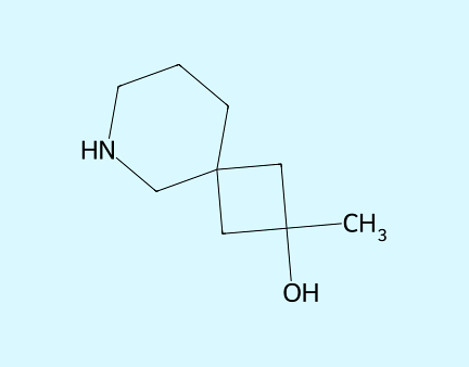 CC1(O)CC2(CCCNC2)C1